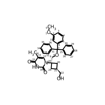 COc1cccc(C(OC[C@]2(n3cc(C)c(=O)[nH]c3=O)C[C@@H](CO)C2)(c2ccccc2)c2ccccc2)c1